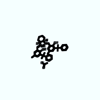 CC(=O)[O-].Cc1cc(C=[N+]2[Mn][N+](=Cc3cc(C)cc(C(C)(C)c4ccccc4)c3O)[C@@H]3CCCC[C@H]32)c(O)c(C(C)(C)c2ccccc2)c1